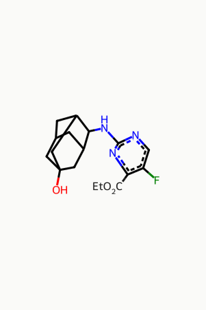 CCOC(=O)c1nc(NC2C3CC4CC2CC(O)(C4)C3)ncc1F